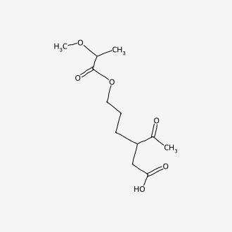 COC(C)C(=O)OCCCC(CC(=O)O)C(C)=O